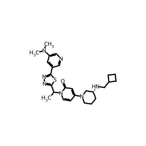 CC(c1nnc(-c2cncc(N(C)C)c2)s1)n1ccc(N2CCC[C@@H](NCC3CCC3)C2)cc1=O